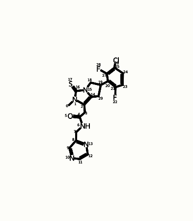 Cn1c(CC(=O)NCc2cnccn2)c2n(c1=S)CC(c1c(F)ccc(Cl)c1F)C2